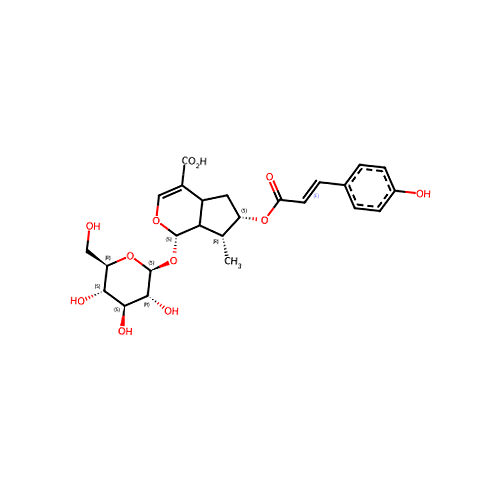 C[C@@H]1C2C(C[C@@H]1OC(=O)/C=C/c1ccc(O)cc1)C(C(=O)O)=CO[C@H]2O[C@@H]1O[C@H](CO)[C@@H](O)[C@H](O)[C@H]1O